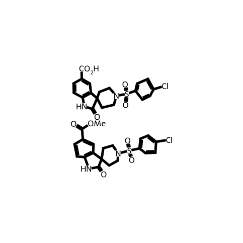 COC(=O)c1ccc2c(c1)C1(CCN(S(=O)(=O)c3ccc(Cl)cc3)CC1)C(=O)N2.O=C(O)c1ccc2c(c1)C1(CCN(S(=O)(=O)c3ccc(Cl)cc3)CC1)C(=O)N2